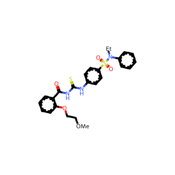 CCN(c1ccccc1)S(=O)(=O)c1ccc(NC(=S)NC(=O)c2ccccc2OCCOC)cc1